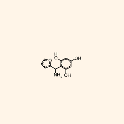 NC(c1ccco1)c1c(O)cc(O)cc1O